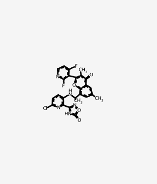 Cc1cc(C(C)Nc2ccc(Cl)nc2-c2noc(=O)[nH]2)c2oc(-c3c(F)ccnc3F)c(C)c(=O)c2c1